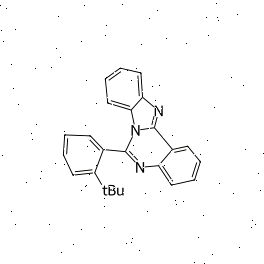 CC(C)(C)c1ccccc1-c1nc2ccccc2c2nc3ccccc3n12